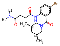 CCN(CC)C(=O)CCC(=O)Nc1ccc(Br)cc1C(=O)N1C[C@H](C)C[C@H](C)C1